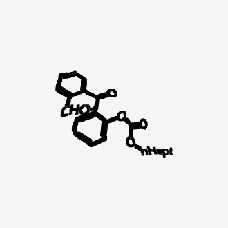 CCCCCCCOC(=O)Oc1ccccc1C(=O)c1ccccc1[C]=O